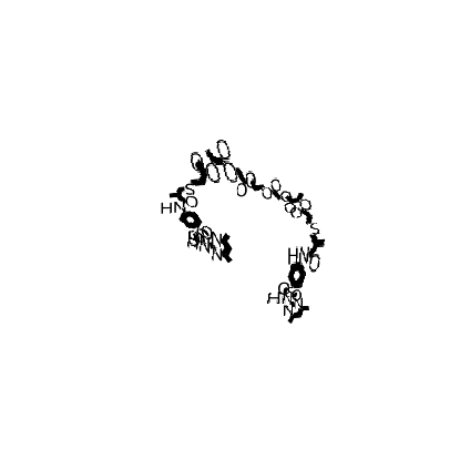 Cc1cc(C)nc(NS(=O)(=O)c2ccc(NC(=O)C(C)CSCCC(=O)OC(C)C(=O)OCC(=O)OCCOC(=O)COC(=O)C(C)OC(=O)CCSCC(C)C(=O)Nc3ccc(S(=O)(=O)Nc4nc(C)cc(C)n4)cc3)cc2)n1